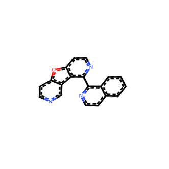 c1ccc2c(-c3nccc4oc5ccncc5c34)nccc2c1